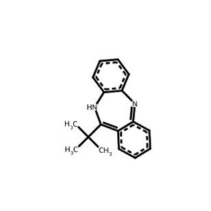 CC(C)(C)C1=c2ccccc2=Nc2ccccc2N1